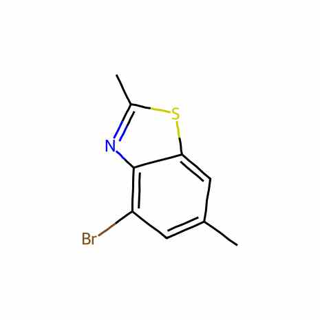 Cc1cc(Br)c2nc(C)sc2c1